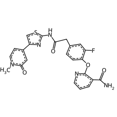 Cn1ccc(-c2csc(NC(=O)Cc3ccc(Oc4ncccc4C(N)=O)c(F)c3)n2)cc1=O